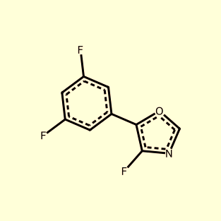 Fc1cc(F)cc(-c2ocnc2F)c1